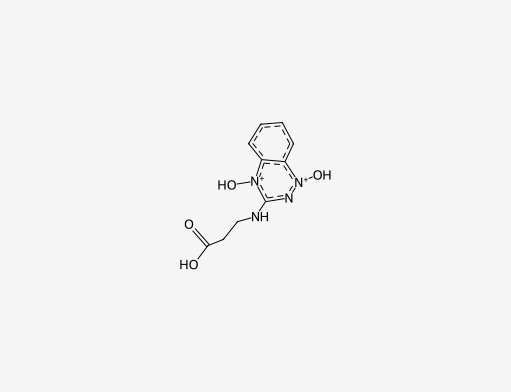 O=C(O)CCNc1n[n+](O)c2ccccc2[n+]1O